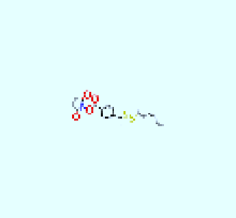 C=C/C=C\C=C(/C)SSC(C)c1ccc(C(=O)ON2C(=O)CCC2=O)cc1